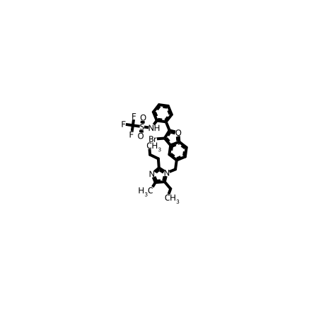 CCCc1nc(C)c(CC)n1Cc1ccc2oc(-c3ccccc3NS(=O)(=O)C(F)(F)F)c(Br)c2c1